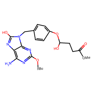 CCCCOc1nc(N)c2nc(O)n(Cc3ccc(OC(O)CCC(=O)OC)cc3)c2n1